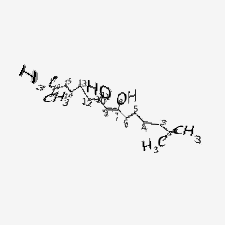 CC(C)CCCC/C(O)=C/C(O)CCCCC(C)C